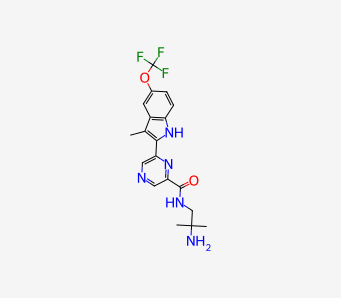 Cc1c(-c2cncc(C(=O)NCC(C)(C)N)n2)[nH]c2ccc(OC(F)(F)F)cc12